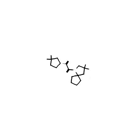 O=C(C(=O)N1CC(F)(F)[C@H](O)C12CCCC2)[C@H]1CCC(F)(F)C1